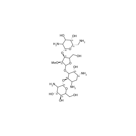 CO[C@@H]1C(OC2[C@H](O[C@@H]3OC(CO)[C@@H](O)[C@H](O)C3N)C(N)C[C@@H](N)[C@H]2O)OC(CO)[C@@H]1O[C@H]1O[C@@H](CN)[C@@H](O)C(O)C1N